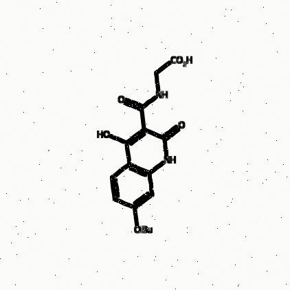 CC(C)COc1ccc2c(O)c(C(=O)NCC(=O)O)c(=O)[nH]c2c1